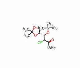 COC(=O)[C@@H](Cl)C(O[Si](C)(C)C(C)(C)C)[C@H]1COC(C)(C)O1